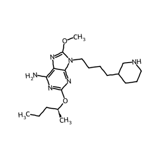 CCC[C@H](C)Oc1nc(N)c2nc(OC)n(CCCCC3CCCNC3)c2n1